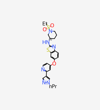 CCCn1cc(-c2cc(Oc3ccc4nc(N[C@H]5CCCN(S(=O)(=O)CC)C5)sc4c3)ccn2)cn1